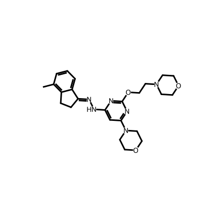 Cc1cccc2c1CC/C2=N\Nc1cc(N2CCOCC2)nc(OCCN2CCOCC2)n1